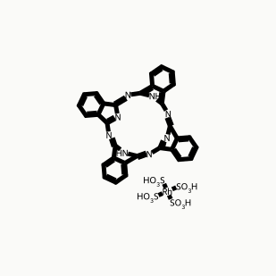 O=[S](=O)(O)[Rh]([S](=O)(=O)O)([S](=O)(=O)O)[S](=O)(=O)O.c1ccc2c(c1)-c1nc-2nc2[nH]c(nc3nc(nc4[nH]c(n1)c1ccccc41)-c1ccccc1-3)c1ccccc21